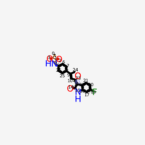 CS(=O)(=O)Nc1ccc(C2=C/C(=C3\C(=O)Nc4cc(F)ccc43)OC2)cc1